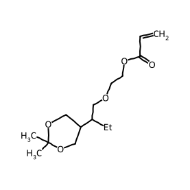 C=CC(=O)OCCOCC(CC)C1COC(C)(C)OC1